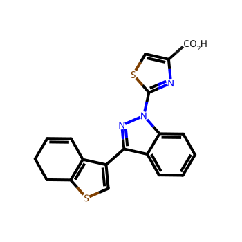 O=C(O)c1csc(-n2nc(-c3csc4c3C=CCC4)c3ccccc32)n1